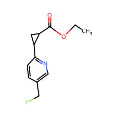 CCOC(=O)C1CC1c1ccc(CF)cn1